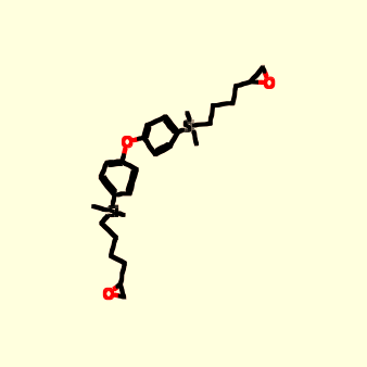 C[Si](C)(CCCCC1CO1)c1ccc(Oc2ccc([Si](C)(C)CCCCC3CO3)cc2)cc1